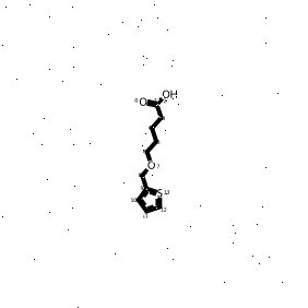 O=C(O)CCCCOCc1cccs1